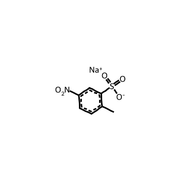 Cc1ccc([N+](=O)[O-])cc1S(=O)(=O)[O-].[Na+]